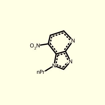 CCCn1cnc2nccc([N+](=O)[O-])c21